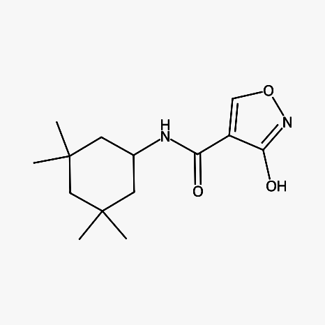 CC1(C)CC(NC(=O)c2conc2O)CC(C)(C)C1